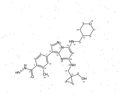 CCCNC(=O)c1ccc(-c2cnn3c(NCC4CCOCC4)cc(NCC4(CO)CC4)nc23)cc1C